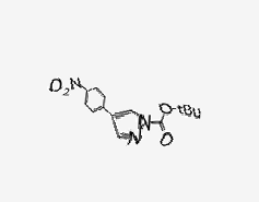 CC(C)(C)OC(=O)n1cc(-c2ccc([N+](=O)[O-])cc2)cn1